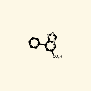 O=C(O)c1cc(-c2ccccc2)c2nncn2c1